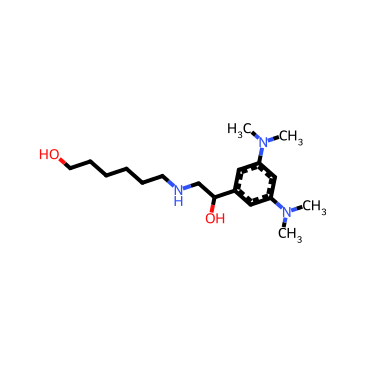 CN(C)c1cc(C(O)CNCCCCCCO)cc(N(C)C)c1